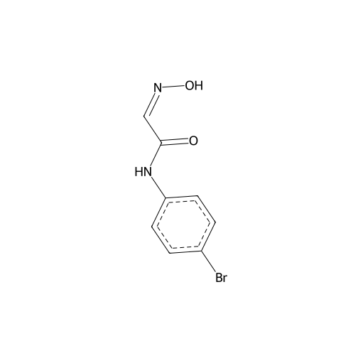 O=C(/C=N\O)Nc1ccc(Br)cc1